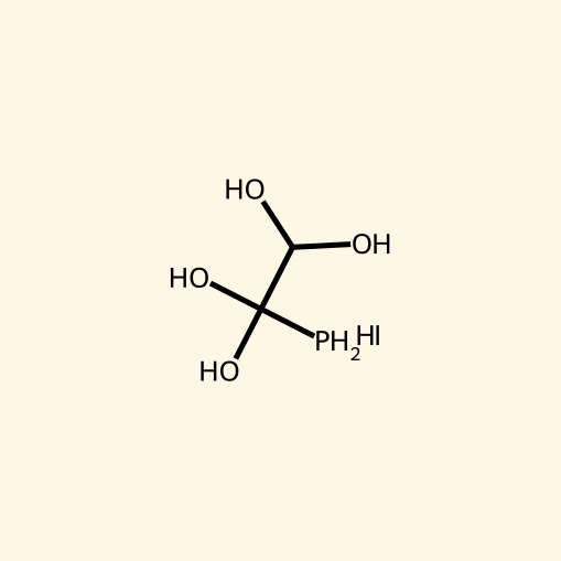 I.OC(O)C(O)(O)P